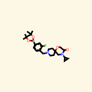 CC1(C)OB(c2ccc(CN3CCC4(CC3)CN(C3CC3)C(=O)CO4)c(F)c2)OC1(C)C